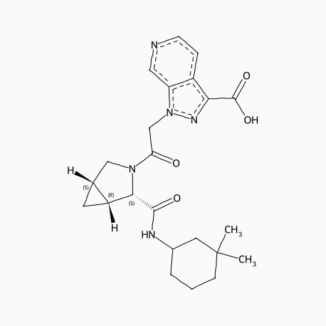 CC1(C)CCCC(NC(=O)[C@@H]2[C@@H]3C[C@@H]3CN2C(=O)Cn2nc(C(=O)O)c3ccncc32)C1